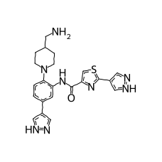 NCC1CCN(c2ccc(-c3cn[nH]c3)cc2NC(=O)c2csc(-c3cn[nH]c3)n2)CC1